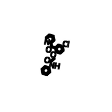 O=C(COc1ccc(Cl)cc1C(=O)c1ccccn1)Nc1ccccc1